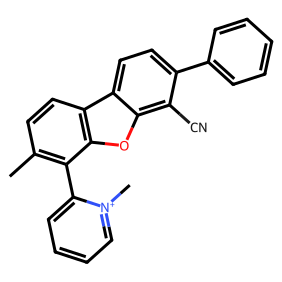 Cc1ccc2c(oc3c(C#N)c(-c4ccccc4)ccc32)c1-c1cccc[n+]1C